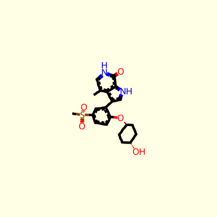 Cc1c[nH]c(=O)c2[nH]cc(-c3cc(S(C)(=O)=O)ccc3O[C@H]3CC[C@@H](O)CC3)c12